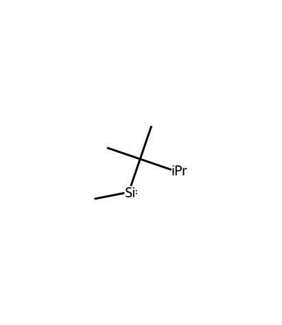 C[Si]C(C)(C)C(C)C